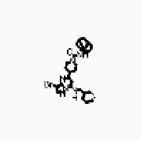 O=C(NC12CC3CC(CC(C3)C1)C2)N1CCC(c2cc(NCc3cccnc3)n3ncc(Br)c3n2)CC1